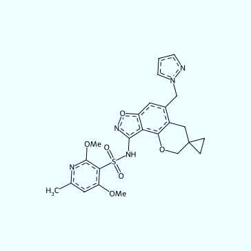 COc1cc(C)nc(OC)c1S(=O)(=O)Nc1noc2cc(Cn3cccn3)c3c(c12)OCC1(CC1)C3